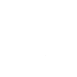 CCC(C)(C)C(=O)OCCC(=O)OC1CCC2CC1(C)OC2=O